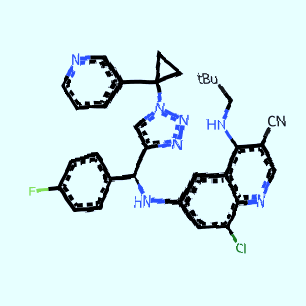 CC(C)(C)CNc1c(C#N)cnc2c(Cl)cc(N[C@@H](c3ccc(F)cc3)c3cn(C4(c5cccnc5)CC4)nn3)cc12